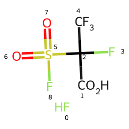 F.O=C(O)C(F)(C(F)(F)F)S(=O)(=O)F